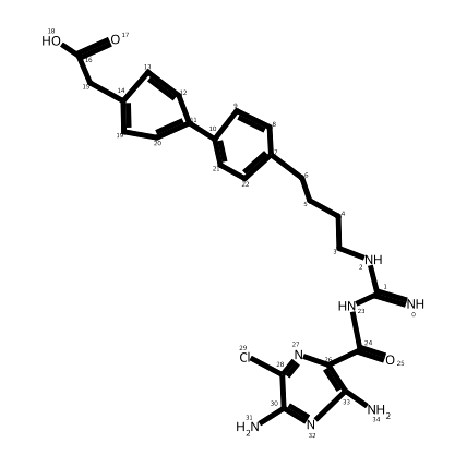 N=C(NCCCCc1ccc(-c2ccc(CC(=O)O)cc2)cc1)NC(=O)c1nc(Cl)c(N)nc1N